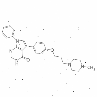 CN1CCN(CCCOc2ccc(-c3cn(-c4ccccc4)c4nc[nH]c(=O)c34)cc2)CC1